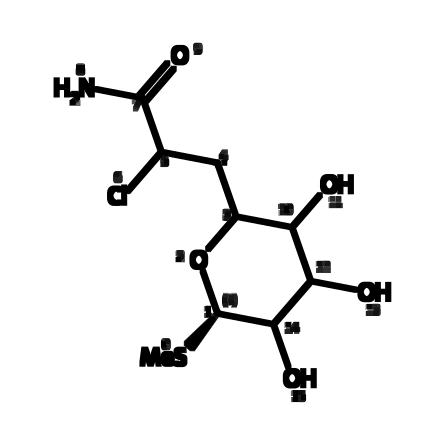 CS[C@H]1OC([CH]C(Cl)C(N)=O)C(O)C(O)C1O